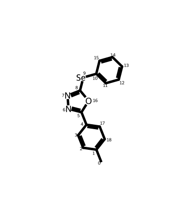 Cc1ccc(-c2nnc([Se]c3ccccc3)o2)cc1